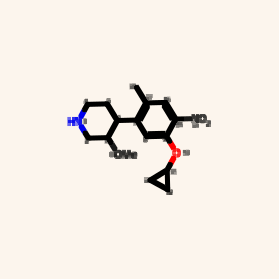 COC1CNCCC1c1cc(OC2CC2)c([N+](=O)[O-])cc1C